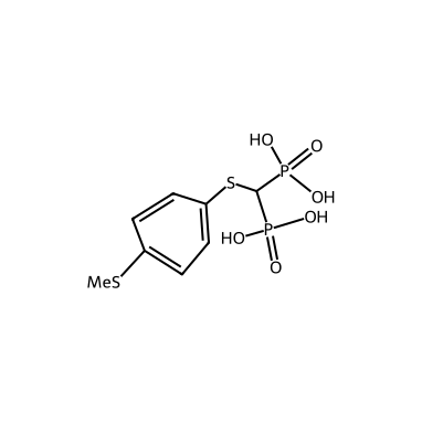 CSc1ccc(SC(P(=O)(O)O)P(=O)(O)O)cc1